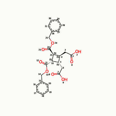 O=C(O)C[C@H]1[C@H](CC(=O)O)[C@H](C(=O)OCc2ccccc2)[C@H]1C(=O)OCc1ccccc1